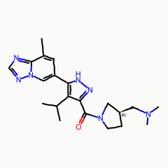 Cc1cc(-c2[nH]nc(C(=O)N3CC[C@H](CN(C)C)C3)c2C(C)C)cn2ncnc12